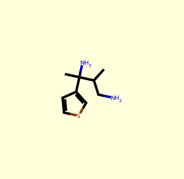 CC(CN)C(C)(N)c1ccsc1